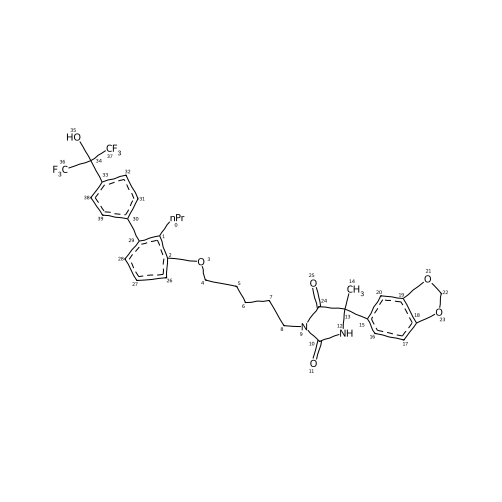 CCCc1c(OCCCCCN2C(=O)NC(C)(c3ccc4c(c3)OCO4)C2=O)cccc1-c1ccc(C(O)(C(F)(F)F)C(F)(F)F)cc1